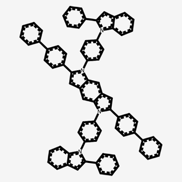 c1ccc(-c2ccc(-c3cc4cc5c(cc(-c6ccc(-c7ccccc7)cc6)n5-c5ccc(-n6c(-c7ccccc7)cc7ccccc76)cc5)cc4n3-c3ccc(-n4c(-c5ccccc5)cc5ccccc54)cc3)cc2)cc1